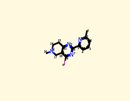 Cc1cccc(-c2nc(I)c3c(n2)CCN(C)C3)n1